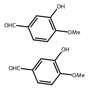 COc1ccc(C=O)cc1O.COc1ccc(C=O)cc1O